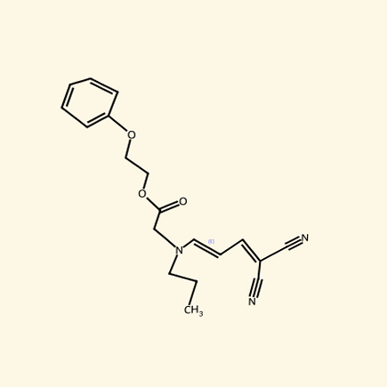 CCCN(/C=C/C=C(C#N)C#N)CC(=O)OCCOc1ccccc1